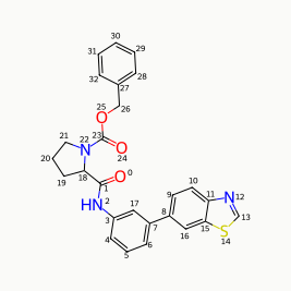 O=C(Nc1cccc(-c2ccc3ncsc3c2)c1)C1CCCN1C(=O)OCc1ccccc1